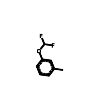 Cc1cccc(OC(F)F)c1